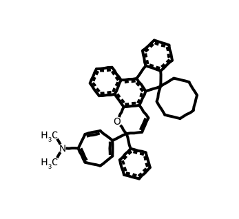 CN(C)C1=CCC=C(C2(c3ccccc3)C=Cc3c4c(c5ccccc5c3O2)-c2ccccc2C42CCCCCCC2)C=C1